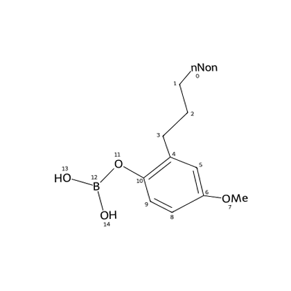 CCCCCCCCCCCCc1cc(OC)ccc1OB(O)O